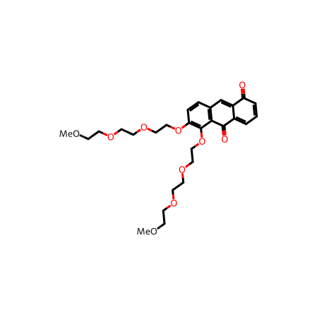 COCCOCCOCCOc1ccc2c(c1OCCOCCOCCOC)C(=O)C1=CC=CC(=O)C1=C2